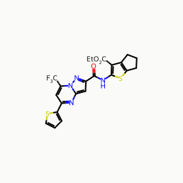 CCOC(=O)c1c(NC(=O)c2cc3nc(-c4cccs4)cc(C(F)(F)F)n3n2)sc2c1CCC2